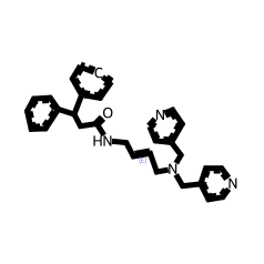 O=C(CC(c1ccccc1)c1ccccc1)NC/C=C/CN(Cc1ccncc1)Cc1ccncc1